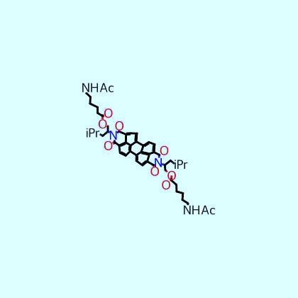 CC(=O)NCCCCCC(=O)OCC(CC(C)C)N1C(=O)c2ccc3c4ccc5c6c(ccc(c7ccc(c2c37)C1=O)c64)C(=O)N(C(COC(=O)CCCCCNC(C)=O)CC(C)C)C5=O